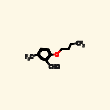 O=Cc1cc(C(F)(F)F)ccc1OCCCC(F)(F)F